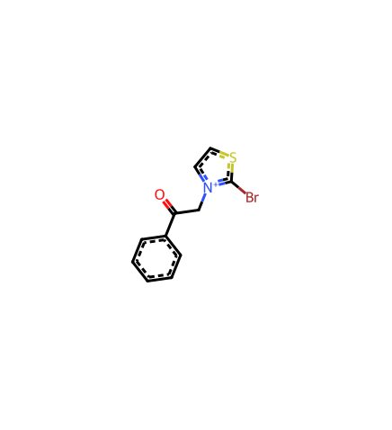 O=C(C[n+]1ccsc1Br)c1ccccc1